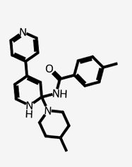 Cc1ccc(C(=O)NC2(N3CCC(C)CC3)C=C(c3ccncc3)C=CN2)cc1